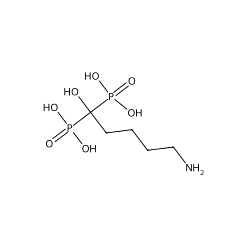 NCCCCC(O)(P(=O)(O)O)P(=O)(O)O